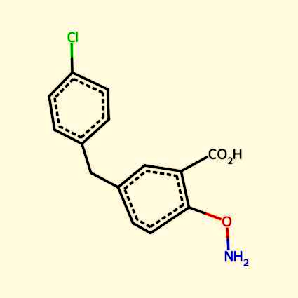 NOc1ccc(Cc2ccc(Cl)cc2)cc1C(=O)O